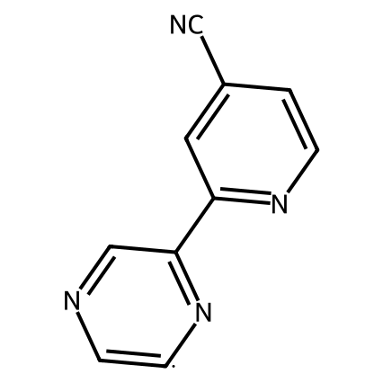 N#Cc1ccnc(-c2cnc[c]n2)c1